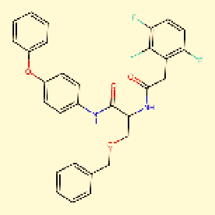 O=C(Cc1c(F)ccc(F)c1F)NC(COCc1ccccc1)C(=O)Nc1ccc(Oc2ccccc2)cc1